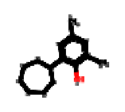 Cc1cc(C)c(O)c(C2CCCCCC2)c1